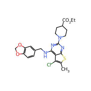 CCOC(=O)C1CCN(c2nc(NCc3ccc4c(c3)OCO4)c3c(Cl)c(C)sc3n2)CC1